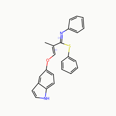 CC(=C\Oc1ccc2[nH]ccc2c1)/C(=N/c1ccccc1)Sc1ccccc1